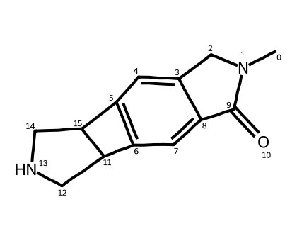 CN1Cc2cc3c(cc2C1=O)C1CNCC31